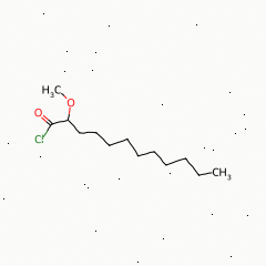 CCCCCCCCCCC(OC)C(=O)Cl